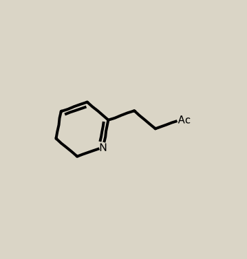 CC(=O)CCC1=NCCC=C1